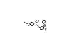 C=CCOc1ccc(C(C=C)(CCCc2ccc(F)c(Oc3ccccc3)c2)C(C)C)cc1